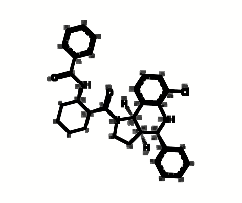 O=C(N[C@@H]1CCCC[C@@H]1C(=O)N1CC[C@@H]2[C@H](c3ccccc3)Nc3c(Cl)cccc3[C@@H]21)c1ccccc1